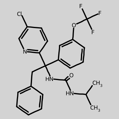 CC(C)NC(=O)NC(Cc1ccccc1)(c1cccc(OC(F)(F)F)c1)c1ccc(Cl)cn1